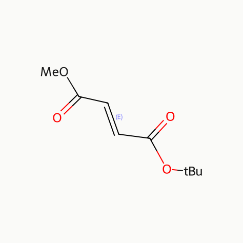 COC(=O)/C=C/C(=O)OC(C)(C)C